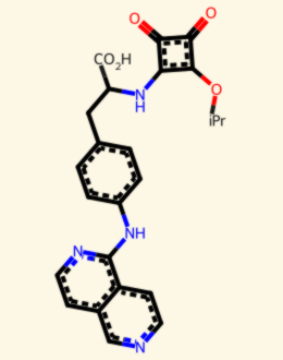 CC(C)Oc1c(NC(Cc2ccc(Nc3nccc4cnccc34)cc2)C(=O)O)c(=O)c1=O